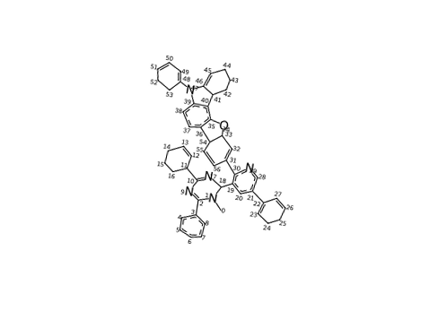 CN1C(c2ccccc2)=NC(C2C=CCCC2)=NC1c1cc(C2=CCCC=C2)cnc1C1=CC2Oc3c(ccc4c3C3CCCC=C3N4C3=CC=CCC3)C2C=C1